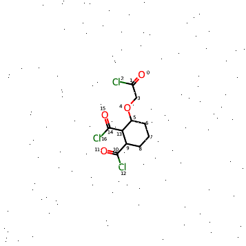 O=C(Cl)COC1CCCC(C(=O)Cl)C1C(=O)Cl